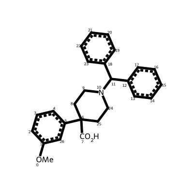 COc1cccc(C2(C(=O)O)CCN(C(c3ccccc3)c3ccccc3)CC2)c1